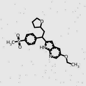 CCOc1cnc2[nH]c(C(CC3CCCO3)c3ccc(S(C)(=O)=O)cc3)cc2c1